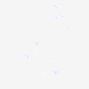 Cc1cc(-c2ccc3c(C4(C(=O)NC5(C#N)CC5)CCC(F)(F)CC4)c(C(N)=O)oc3c2)ccc1-n1cncn1